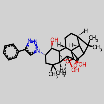 CC1(C)C[C@H](n2cc(-c3ccccc3)nn2)[C@@H](O)[C@]23CO[C@](O)([C@@H](O)[C@H]12)[C@@]12C(=O)C4[C@@H]1[C@@H](CC[C@@H]32)C4(C)C